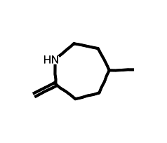 C=C1CCC(C)CCN1